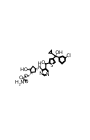 NS(=O)(=O)OC[C@H]1C[C@@H](Nc2ncncc2C(=O)c2cc([C@](O)(c3cccc(Cl)c3)C3CC3)cs2)C[C@@H]1O